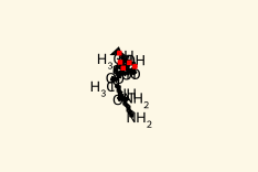 CN(CCNC(=O)C(N)CCCCN)C(=O)Oc1ccc2c3c1O[C@H]1C(=O)CC[C@@]4(O)[C@@H](C2)[N@@+](C)(CC2CC2)CC[C@]314